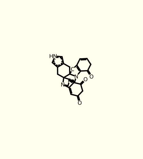 O=C1C=C2C(=CC34Cc5c[nH]cc5CC35CC3=C(C(=O)CC=C3)N5C=PCN24)C(=O)C1